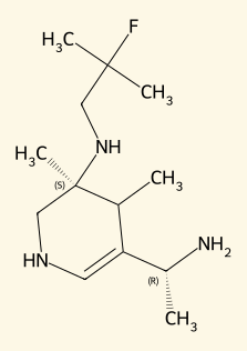 CC1C([C@@H](C)N)=CNC[C@@]1(C)NCC(C)(C)F